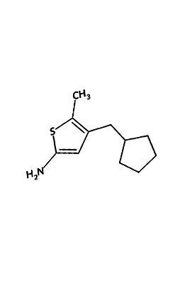 Cc1sc(N)cc1CC1CCCC1